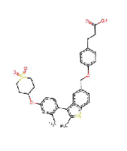 Cc1cc(OC2CCS(=O)(=O)CC2)ccc1-c1c(C)sc2ccc(COc3ccc(CCC(=O)O)cc3)cc12